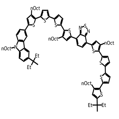 CCCCCCCCc1cc(-c2ccc3c(c2)c2cc(C(C)(CC)CC)ccc2n3CCCCCCCC)sc1-c1ccc(-c2ccc(-c3sc(-c4ccc(-c5cc(CCCCCCCC)c(-c6ccc(-c7ccc(-c8sc(C(C)(CC)CC)cc8CCCCCCCC)s7)s6)s5)c5nsnc45)cc3CCCCCCCC)s2)s1